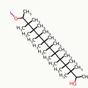 CC(O)C(C)(C)C(C)(C)C(C)(C)C(C)(C)C(C)(C)C(C)(C)C(C)(C)C(C)(C)C(C)(C)C(C)OI